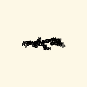 COc1cc(CN2CCN(C3CC4(CCN(c5ccc(C(=O)NS(=O)(=O)c6ccc(NCC7CCC(C)(O)CC7)c([N+](=O)[O-])c6)c(Oc6cnc7[nH]ccc7c6)c5)CC4)C3)C(c3ccccc3C(C)C)C2)cc(F)c1OC